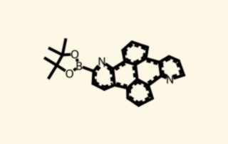 CC1(C)OB(c2ccc3c4cccc5c6ncccc6c6cccc(c3n2)c6c45)OC1(C)C